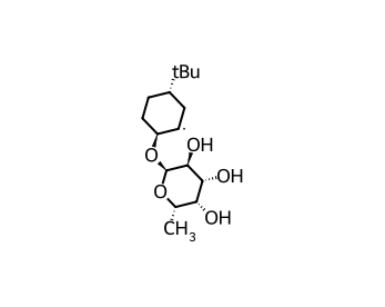 C[C@@H]1O[C@@H](O[C@@H]2[CH]C[C@@H](C(C)(C)C)CC2)[C@@H](O)[C@H](O)[C@@H]1O